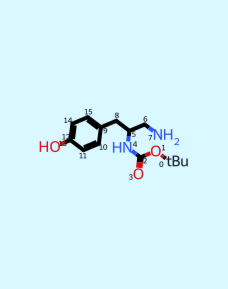 CC(C)(C)OC(=O)NC(CN)Cc1ccc(O)cc1